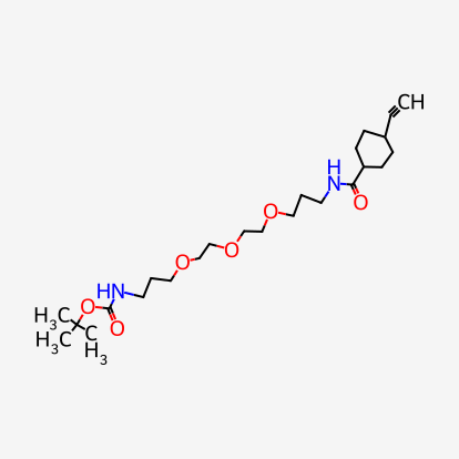 C#CC1CCC(C(=O)NCCCOCCOCCOCCCNC(=O)OC(C)(C)C)CC1